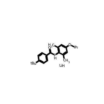 Cc1cc(OC(C)C)cc(C)c1PC(=O)c1ccc(C(C)(C)C)cc1.[LiH]